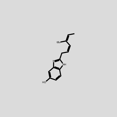 C/C=C(\C=C/Cc1nc2cc(O)ccc2[nH]1)C(C)(C)C